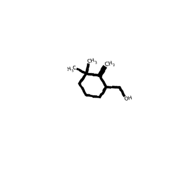 C=C1C(CO)CCCC1(C)C